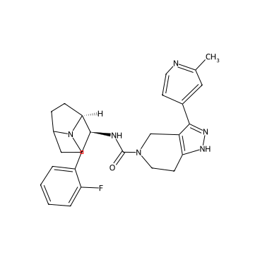 Cc1cc(-c2n[nH]c3c2CN(C(=O)N[C@H]2CCC4CC[C@@H]2N4Cc2ccccc2F)CC3)ccn1